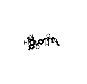 CCCN1CCN(C(=O)NCC2CCC(C(=O)N3Cc4cnn(C)c4Nc4cc(C)ccc43)CC2)CC1